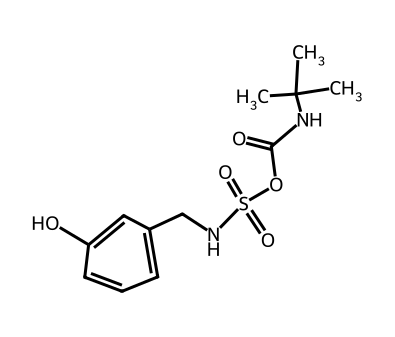 CC(C)(C)NC(=O)OS(=O)(=O)NCc1cccc(O)c1